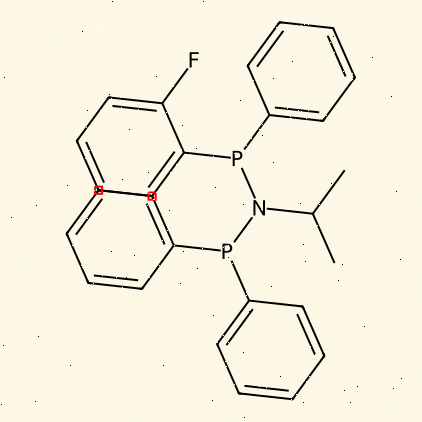 CC(C)N(P(c1ccccc1)c1ccccc1)P(c1ccccc1)c1ccccc1F